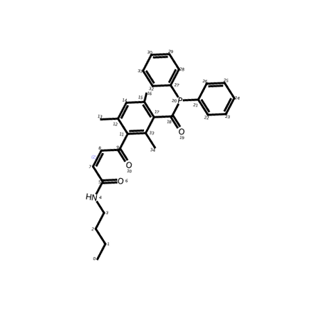 CCCCNC(=O)/C=C\C(=O)c1c(C)cc(C)c(C(=O)P(c2ccccc2)c2ccccc2)c1C